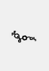 CCc1ccc(C(=O)N2CCC(F)(F)CC2)cc1